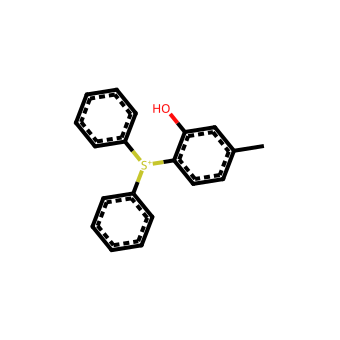 Cc1ccc([S+](c2ccccc2)c2ccccc2)c(O)c1